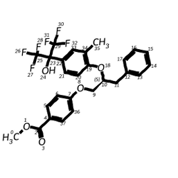 COC(=O)c1ccc(OC[C@H](Cc2ccccc2)Oc2ccc(C(O)(C(F)(F)F)C(F)(F)F)cc2C)cc1